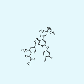 Cc1cc(-c2cnc3c(NCC(C)(C)N)cc(Oc4ccc(F)c(F)c4)nn23)ccc1C(=O)NC1CC1